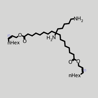 CCCCCC/C=C\COC(=O)CCCCCCCC(N)(CCCCCN)CCCCCCCC(=O)OC/C=C\CCCCCC